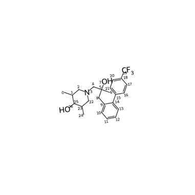 CC1CN(CC(C)(O)Cc2ccccc2-c2ccc(C(F)(F)F)cc2)CC(C)C1O